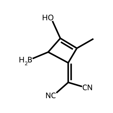 BC1C(O)=C(C)C1=C(C#N)C#N